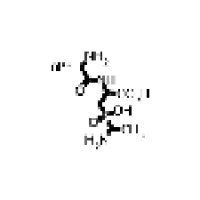 CCC[C@H](N)C(=O)NC(CP(=O)(O)C(C)N)C(=O)O